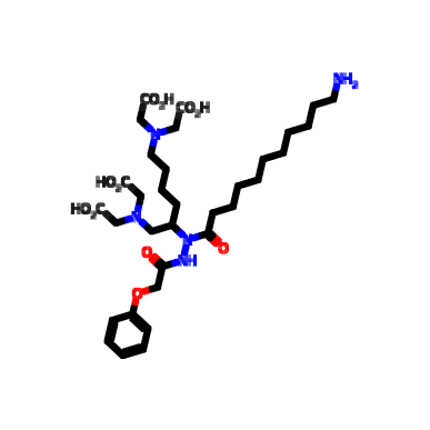 NCCCCCCCCCCC(=O)N(NC(=O)COc1ccccc1)C(CCCCN(CC(=O)O)CC(=O)O)CN(CC(=O)O)CC(=O)O